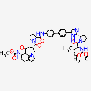 COC(=O)N[C@H]1CCc2ccn3c2C1C(=O)C[C@H](C(=O)N1CCC[C@H]1C(=O)Nc1ccc(-c2ccc(-c4cnc([C@@H]5CCCN5C(=O)[C@@H](NC(=O)OC)C(C)C)[nH]4)cc2)cc1)C3